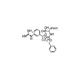 CCCCCC(NC(=O)OCc1ccccc1)P(=O)(O)OC(C(=O)O)c1cccc(NC(=N)N)c1